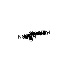 N#Cc1cnn2c(-c3cc(NC4CCOCC4)c(-c4nnc(N5CCN(C6CC7(CCN(C8C=CC(C9CCC(=O)NC9=O)=CN8)CC7)C6)CC5)s4)cn3)ccc2c1